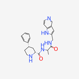 CC(NC(=O)[C@H]1C[C@@H](c2ccccc2)CCN1)C(=O)NCc1cc2cnccc2[nH]1